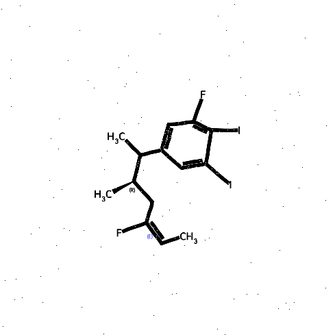 C/C=C(/F)C[C@@H](C)C(C)c1cc(F)c(I)c(I)c1